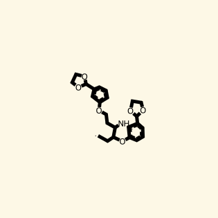 [CH2]CC(Oc1cccc(C2OCCO2)c1)C(N)CCOc1cccc(C2OCCO2)c1